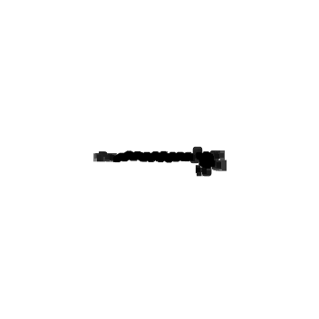 CCCCCCCCCCCCCCCCCCCCCCCCCCCCOC(=O)c1cc(O)c(O)c(O)c1